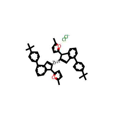 Cc1ccc(C2[C]([Zr+2][C]3=Cc4c(-c5ccc(C(C)(C)C)cc5)cccc4C3c3ccc(C)o3)=Cc3c(-c4ccc(C(C)(C)C)cc4)cccc32)o1.[Cl-].[Cl-]